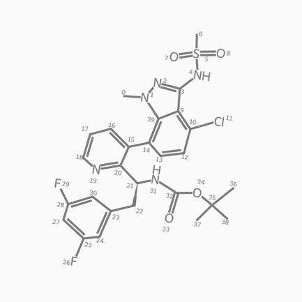 Cn1nc(NS(C)(=O)=O)c2c(Cl)ccc(-c3cccnc3[C@H](Cc3cc(F)cc(F)c3)NC(=O)OC(C)(C)C)c21